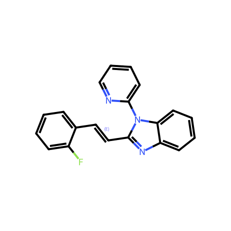 Fc1ccccc1/C=C/c1nc2ccccc2n1-c1ccccn1